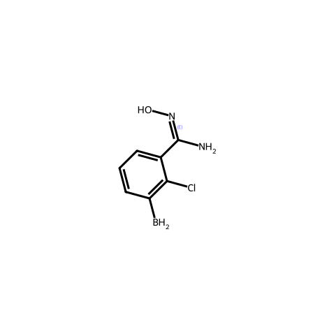 Bc1cccc(/C(N)=N\O)c1Cl